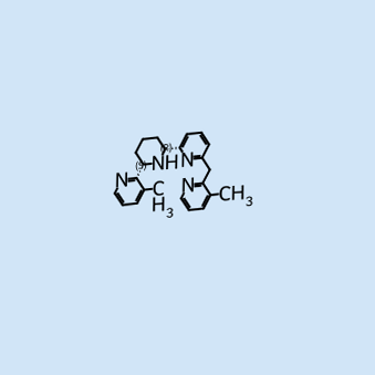 Cc1cccnc1Cc1cccc([C@H]2CCC[C@@H](c3ncccc3C)N2)n1